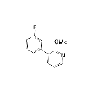 COc1ncccc1-c1cc(F)ccc1C